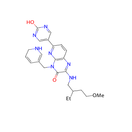 CCC(CCOC)CNc1nc2ccc(-c3cnc(O)nc3)nc2n(CC2=CNCC=C2)c1=O